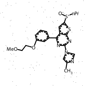 CCC[S+]([O-])c1cc2c(-c3cccc(OCCOC)c3)nc(-n3cnc(C)c3)nc2s1